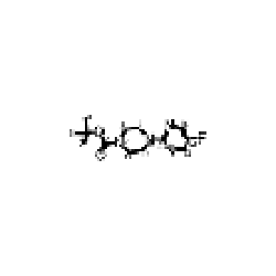 CC(C)(C)OC(=O)N1CCN(c2ncc(F)cn2)CC1